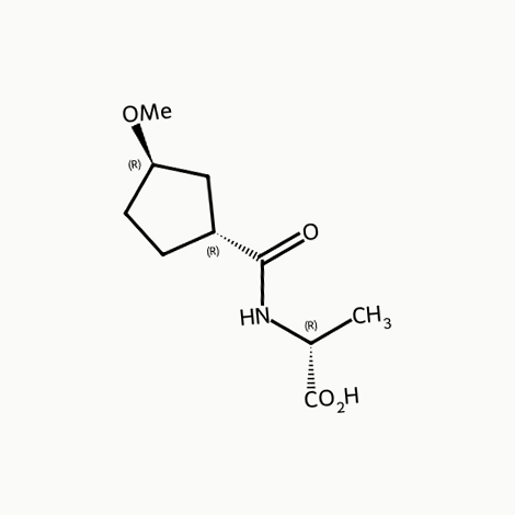 CO[C@@H]1CC[C@@H](C(=O)N[C@H](C)C(=O)O)C1